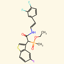 CCOP(C)(=O)C(C(=O)N/C=C/c1ccc(F)c(F)c1)c1csc2ccc(I)cc12